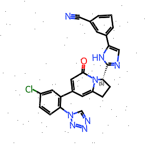 N#Cc1cccc(-c2cnc([C@@H]3CCc4cc(-c5cc(Cl)ccc5-n5cnnn5)cc(=O)n43)[nH]2)c1